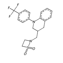 O=S1(=O)CCN1CC1Cc2ccccc2N(c2ccc(C(F)(F)F)cc2)C1